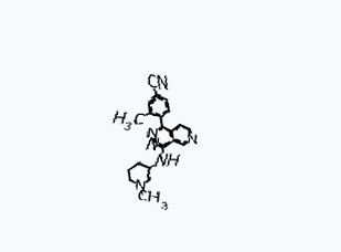 Cc1cc(C#N)ccc1-c1nnc(N[C@@H]2CCCN(C)C2)c2cnccc12